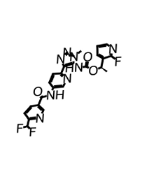 C[C@@H](OC(=O)Nc1c(-c2ccc(NC(=O)c3ccc(C(F)F)nc3)cn2)nnn1C)c1cccnc1F